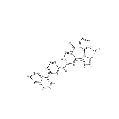 CC(C)c1cccc2c1-n1ccnc1-c1cc(Oc3cccc(-c4nccc5ccccc45)c3)ccc1C2C